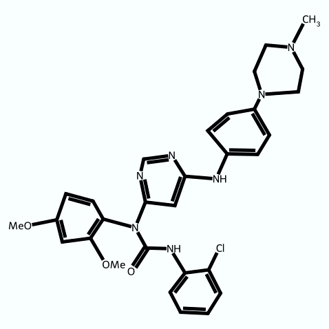 COc1ccc(N(C(=O)Nc2ccccc2Cl)c2cc(Nc3ccc(N4CCN(C)CC4)cc3)ncn2)c(OC)c1